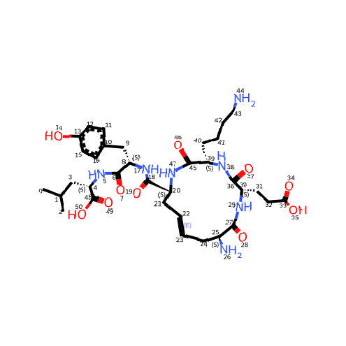 CC(C)C[C@H](NC(=O)[C@H](Cc1ccc(O)cc1)NC(=O)[C@@H]1C/C=C/C[C@H](N)C(=O)N[C@@H](CCC(=O)O)C(=O)N[C@@H](CCCCN)C(=O)N1)C(=O)O